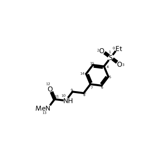 CCS(=O)(=O)c1ccc([CH]CNC(=O)NC)cc1